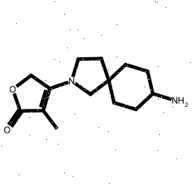 CC1=C(N2CCC3(CCC(N)CC3)C2)COC1=O